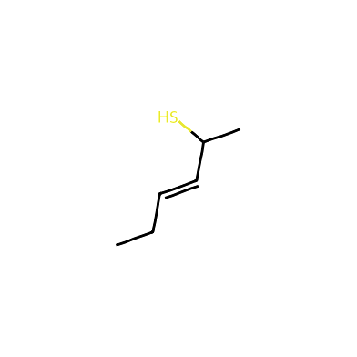 CC/C=C/C(C)S